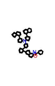 C1=CC(c2nc3c(ccc4cc(-c5ccccc5-c5cccc(N(c6cccc(-c7cccc8c7C=CCC8)c6)c6cccc(-c7cccc8ccccc78)c6)c5)ccc43)o2)=CCC1